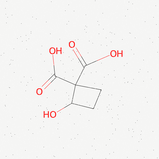 O=C(O)C1(C(=O)O)CCC1O